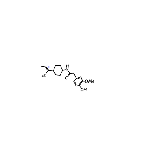 C/C=C(\CC)[C@H]1CC[C@@H](NC(=O)Cc2ccc(O)c(OC)c2)CC1